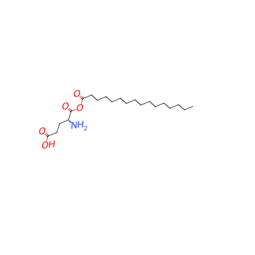 CCCCCCCCCCCCCCCC(=O)OC(=O)[C@@H](N)CCC(=O)O